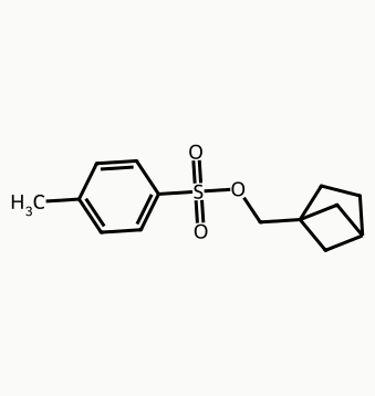 Cc1ccc(S(=O)(=O)OCC23CCC(C2)C3)cc1